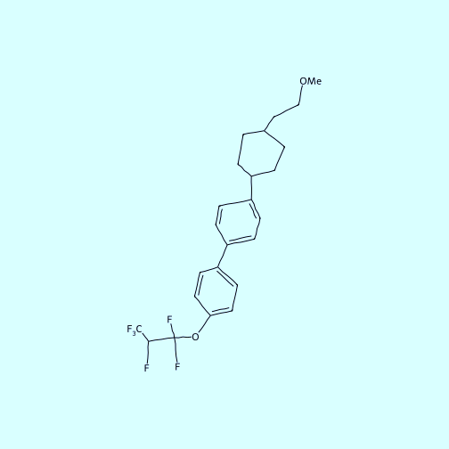 COCCC1CCC(c2ccc(-c3ccc(OC(F)(F)C(F)C(F)(F)F)cc3)cc2)CC1